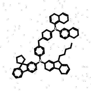 CCCCCC1C2=CC(N(c3ccc(CC4=CC=C(N(C5=C6CCC=CC6CC=C5)c5ccc6c(c5)C=CCC6)CC4)cc3)c3ccc4c(c3)C3(CCCC3)c3ccccc3-4)CC=C2C2CC=CC=C21